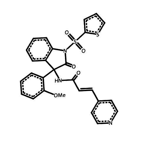 COc1ccccc1C1(NC(=O)/C=C/c2ccncc2)C(=O)N(S(=O)(=O)c2cccs2)c2ccccc21